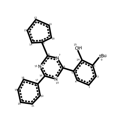 CC(C)(C)c1cccc(-c2nc(-c3ccccc3)nc(-c3ccccc3)n2)c1O